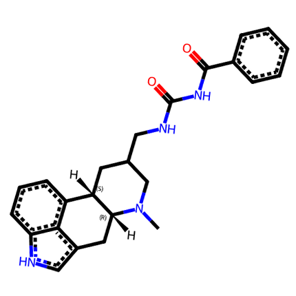 CN1CC(CNC(=O)NC(=O)c2ccccc2)C[C@H]2c3cccc4[nH]cc(c34)C[C@H]21